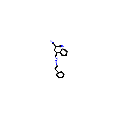 N#CC(C#N)CC(=CN=NC=Cc1ccccc1)c1ccccc1